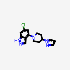 Clc1cc(N2CCC(n3cccn3)CC2)c2cn[nH]c2c1